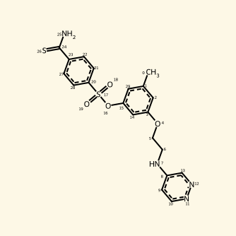 Cc1cc(OCCNc2ccnnc2)cc(OS(=O)(=O)c2ccc(C(N)=S)cc2)c1